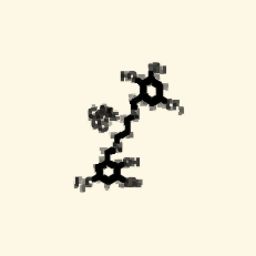 CC(=O)[O-].CC(=O)[O-].CC(C)(C)c1cc(C(F)(F)F)cc(C=NCCCN=Cc2cc(C(F)(F)F)cc(C(C)(C)C)c2O)c1O.[Co+2]